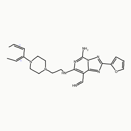 C/C=C\C(=C/C)N1CCN(CCNc2nc(N)n3nc(-c4ccco4)nc3c2C=N)CC1